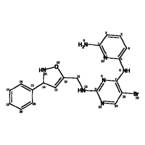 Nc1cccc(Nc2nc(NCC3=CC(c4ccccc4)NO3)ncc2Br)n1